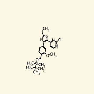 CCc1nc(-c2ccc(CO[Si](C)(C)C(C)(C)C)c(OC)c2)c(-c2ccnc(Cl)n2)s1